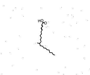 CCCCCCCCCCC(C)CCCCCCC=CC=CC(=O)O